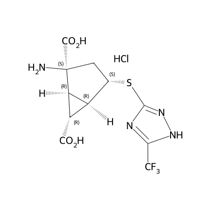 Cl.N[C@@]1(C(=O)O)C[C@H](Sc2n[nH]c(C(F)(F)F)n2)[C@H]2[C@H](C(=O)O)[C@H]21